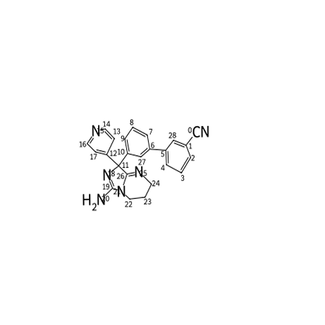 N#Cc1cccc(-c2cccc(C3(c4ccncc4)N=C(N)N4CCCN=C43)c2)c1